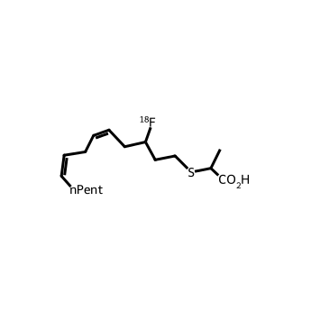 CCCCC/C=C\C/C=C\CC([18F])CCSC(C)C(=O)O